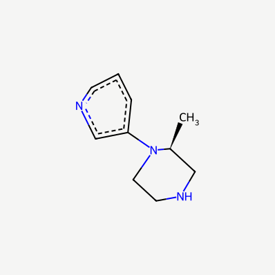 C[C@H]1CNCCN1c1cccnc1